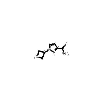 NC(=O)c1ccn(C2COC2)n1